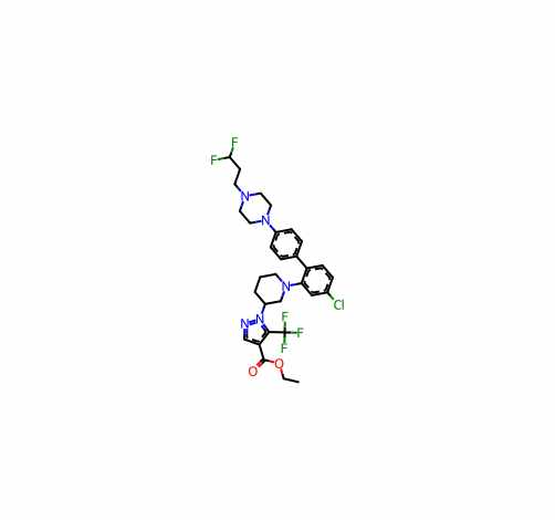 CCOC(=O)c1cnn(C2CCCN(c3cc(Cl)ccc3-c3ccc(N4CCN(CCC(F)F)CC4)cc3)C2)c1C(F)(F)F